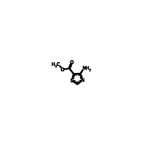 COC(=O)c1scnc1N